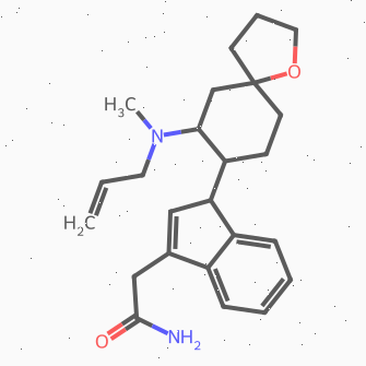 C=CCN(C)C1CC2(CCCO2)CCC1C1C=C(CC(N)=O)c2ccccc21